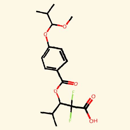 COC(Oc1ccc(C(=O)OC(C(C)C)C(F)(F)C(=O)O)cc1)C(C)C